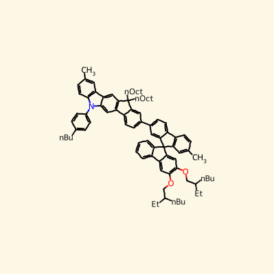 CCCCCCCCC1(CCCCCCCC)c2cc(-c3ccc4c(c3)C3(c5ccccc5-c5cc(OCC(CC)CCCC)c(OCC(CC)CCCC)cc53)c3cc(C)ccc3-4)ccc2-c2cc3c(cc21)c1cc(C)ccc1n3-c1ccc(CCCC)cc1